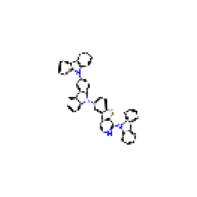 C1=Cc2c(c3ccccc3n2-c2ccc3c(c2)c2ccccc2n3-c2ccc3sc4c(-n5c6ccccc6c6ccccc65)nccc4c3c2)CC1